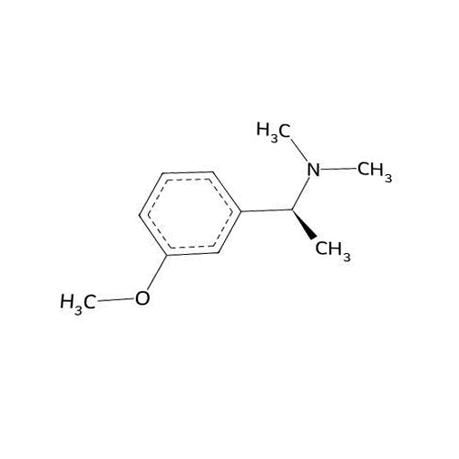 COc1cccc([C@H](C)N(C)C)c1